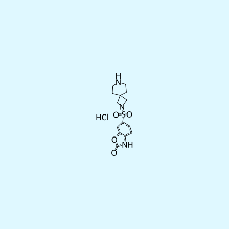 Cl.O=c1[nH]c2ccc(S(=O)(=O)N3CC4(CCNCC4)C3)cc2o1